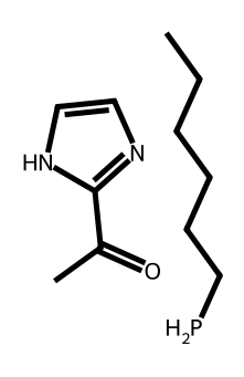 CC(=O)c1ncc[nH]1.CCCCCCP